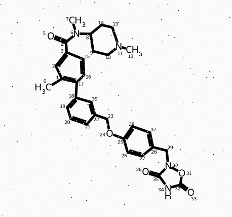 Cc1cc(C(=O)N(C)C2CCN(C)CC2)ccc1-c1cccc(COc2ccc(Cn3oc(=O)[nH]c3=O)cc2)c1